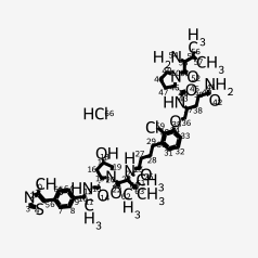 Cc1ncsc1-c1ccc(C(C)NC(=O)[C@@H]2C[C@@H](O)CN2C(=O)C(NC(=O)CCCc2cccc(OCC(CCC(N)=O)NC(=O)[C@@H]3CCCN3C(=O)C(N)C(C)C)c2Cl)C(C)(C)C)cc1.Cl